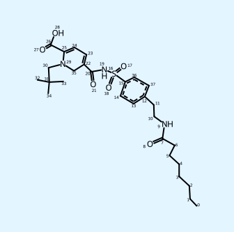 CCCCCCCC(=O)NCCc1ccc(S(=O)(=O)NC(=O)C2=CC=C(C(=O)O)N(CC(C)(C)C)C2)cc1